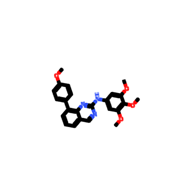 COc1ccc(-c2cccc3cnc(Nc4cc(OC)c(OC)c(OC)c4)nc23)cc1